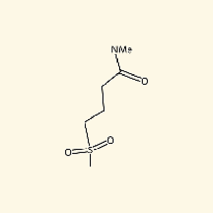 CNC(=O)CCCS(C)(=O)=O